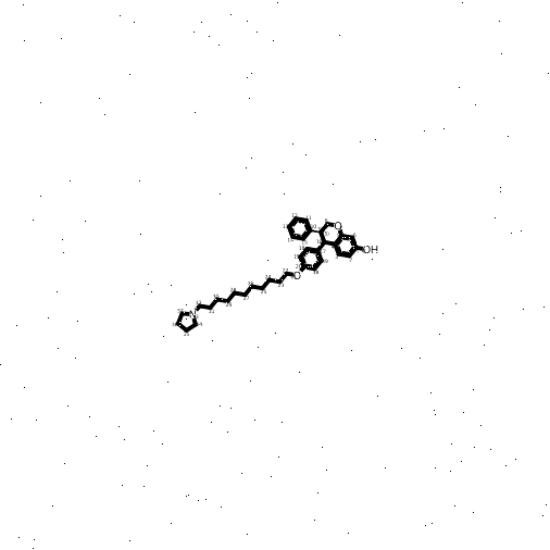 Oc1ccc2c(c1)OC[C@H](c1ccccc1)C2c1ccc(OCCCCCCCCCCCN2CCCC2)cc1